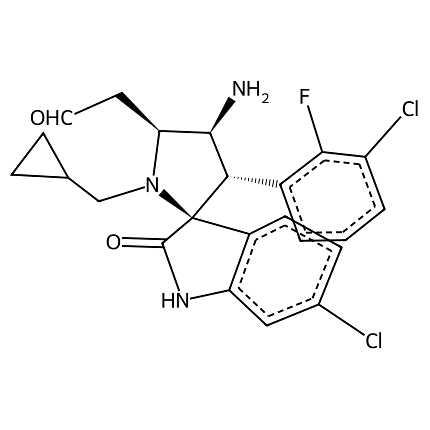 N[C@@H]1[C@H](CC=O)N(CC2CC2)[C@@]2(C(=O)Nc3cc(Cl)ccc32)[C@H]1c1cccc(Cl)c1F